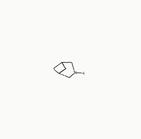 IN1CC2CC(C2)C1